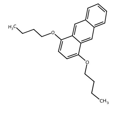 CCCCOc1ccc(OCCCC)c2cc3ccccc3cc12